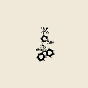 CC(C)(C)N1C[C@@H](OS(C)(=O)=O)C[C@H]1CO[Si](c1ccccc1)(c1ccccc1)C(C)(C)C